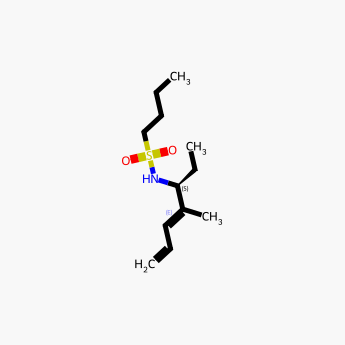 C=C/C=C(\C)[C@H](CC)NS(=O)(=O)CCCC